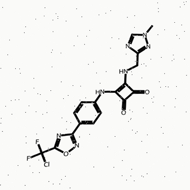 Cn1cnc(CNc2c(Nc3ccc(-c4noc(C(F)(F)Cl)n4)cc3)c(=O)c2=O)n1